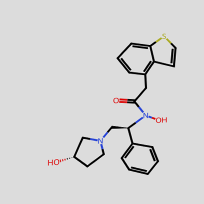 O=C(Cc1cccc2sccc12)N(O)[C@H](CN1CC[C@H](O)C1)c1ccccc1